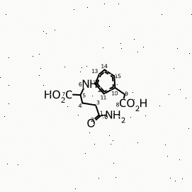 NC(=O)CCC(N)C(=O)O.O=C(O)Cc1ccccc1